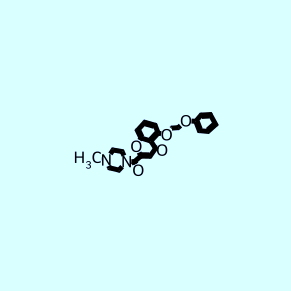 CN1CCN(C(=O)c2cc(=O)c3c(OCCOc4ccccc4)cccc3o2)CC1